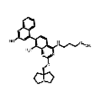 COCCCNc1nc(OCC23CCCN2CCC3)nc2c(C)c(-c3cc(O)cc4ccccc34)ccc12